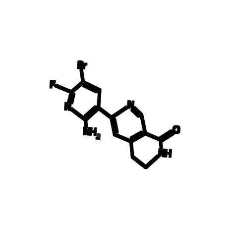 Nc1nc(F)c(Br)cc1-c1cc2c(cn1)C(=O)NCC2